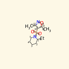 CCC1CCCCN1S(=O)(=O)c1c(C)noc1C